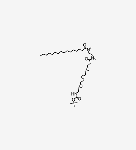 CCCCCCCCCCCCCCCC(=O)N(C)CCN(C)C(=O)CCOCCOCCOCCNC(=O)OC(C)(C)C